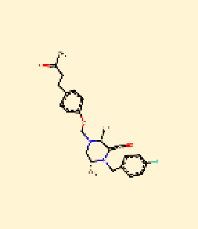 CC(=O)CCc1ccc(OCN2C[C@@H](C)N(Cc3ccc(F)cc3)C(=C=O)[C@@H]2C)cc1